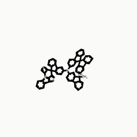 CC1(C)c2ccccc2-c2ccc(N(c3ccc4c(c3)-c3ccccc3C43c4ccccc4-n4c5ccccc5c5cccc3c54)c3ccc4c(c3)C3(c5ccccc5-c5ccccc53)c3ccccc3-4)cc21